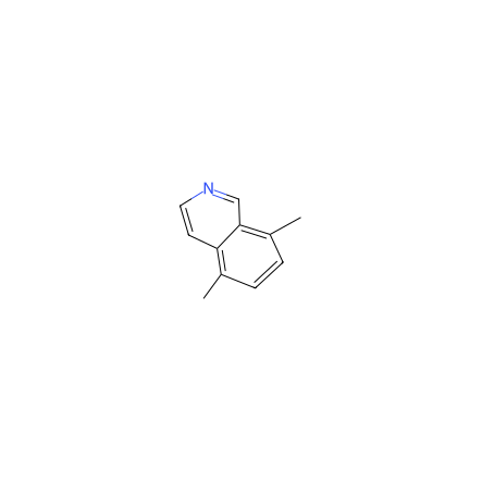 Cc1ccc(C)c2cnccc12